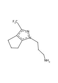 NCCCn1nc(C(F)(F)F)c2c1CCC2